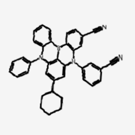 N#Cc1cccc(N2c3cc(C#N)ccc3B3c4ccccc4N(c4ccccc4)c4cc(C5CCCCC5)cc2c43)c1